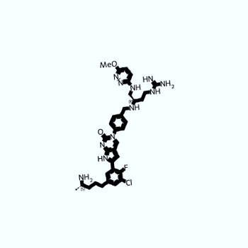 COc1ccc(NC[C@@H](CCNC(=N)N)NCc2ccc(-n3cc4cc(-c5cc(CCC[C@H](C)N)cc(Cl)c5F)[nH]c4nc3=O)cc2)nn1